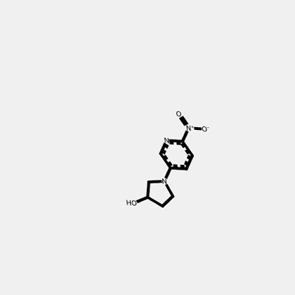 O=[N+]([O-])c1ccc(N2CCC(O)C2)cn1